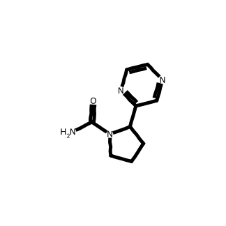 NC(=O)N1CCCC1c1cnccn1